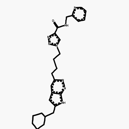 O=C(NCc1ccccn1)c1cn(CCCCc2cc3cc(CC4CCCCC4)[nH]c3nn2)nn1